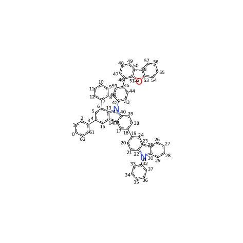 c1ccc(-c2cc(-c3ccccc3)c3c(c2)c2cc(-c4ccc5c(c4)c4ccccc4n5-c4ccccc4)ccc2n3-c2ccc(-c3cccc4c3oc3ccccc34)cc2)cc1